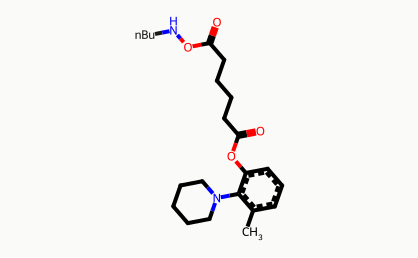 CCCCNOC(=O)CCCCC(=O)Oc1cccc(C)c1N1CCCCC1